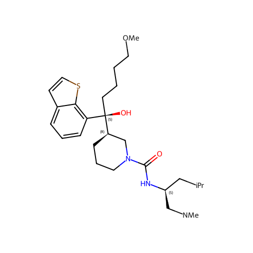 CNC[C@H](CC(C)C)NC(=O)N1CCC[C@@H]([C@@](O)(CCCCOC)c2cccc3ccsc23)C1